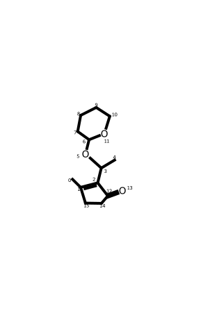 CC1=C(C(C)OC2CCCCO2)C(=O)CC1